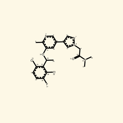 Cc1ncc(-c2cnn(CC(=O)N(C)C)c2)cc1OC(C)c1c(Cl)ccc(F)c1Cl